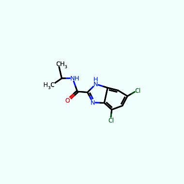 CC(C)NC(=O)c1nc2c(Cl)cc(Cl)cc2[nH]1